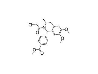 COC(=O)c1ccc([C@H]2c3cc(OC)c(OC)cc3C[C@H](C)N2C(=O)CCl)cc1